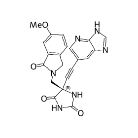 COc1ccc2c(c1)C(=O)N(C[C@@]1(C#Cc3cnc4[nH]cnc4c3)NC(=O)NC1=O)C2